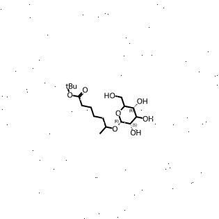 CC(CCCCC(=O)OC(C)(C)C)O[C@@H]1OC(CO)[C@H](O)C(O)[C@@H]1O